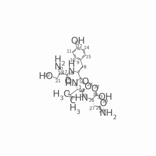 CC(C)[C@H](NC(=O)[C@H](Cc1ccc(O)cc1)NC(=O)[C@@H](N)CO)C(=O)N[C@@H](CC(N)=O)C(=O)O